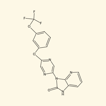 O=c1[nH]c2cccnc2n1-c1cnc(Oc2cccc(OC(F)(F)F)c2)cn1